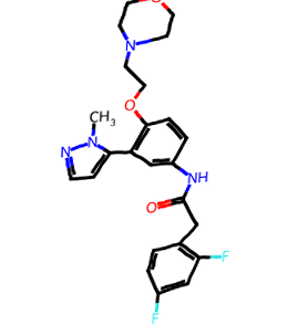 Cn1nccc1-c1cc(NC(=O)Cc2ccc(F)cc2F)ccc1OCCN1CCOCC1